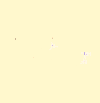 CCN(C(=O)c1ccc(OC(C)C)cc1)C1CCc2[nH]ncc2C1